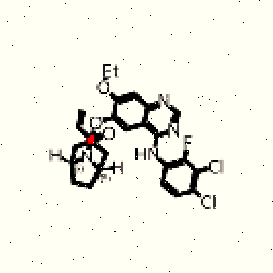 C=CC(=O)N1[C@@H]2CC[C@H]1CC(Oc1cc3c(Nc4ccc(Cl)c(Cl)c4F)ncnc3cc1OCC)C2